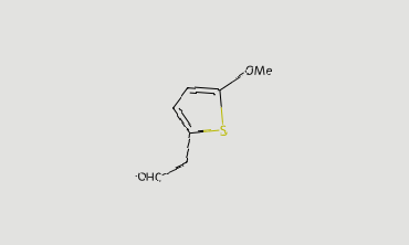 COc1ccc(C[C]=O)s1